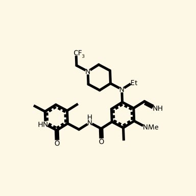 CCN(c1cc(C(=O)NCc2c(C)cc(C)[nH]c2=O)c(C)c(NC)c1C=N)C1CCN(CC(F)(F)F)CC1